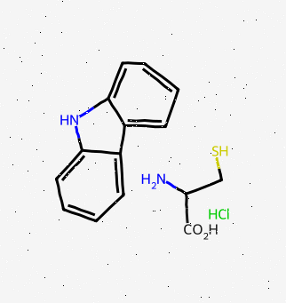 Cl.NC(CS)C(=O)O.c1ccc2c(c1)[nH]c1ccccc12